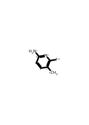 Cc1ccc(N)nc1F